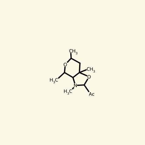 CC(=O)C1OC2(C)CC(C)OC(C)C2N1C